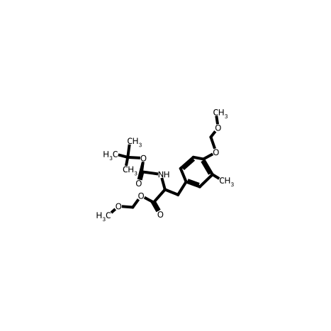 COCOC(=O)C(Cc1ccc(OCOC)c(C)c1)NC(=O)OC(C)(C)C